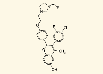 CC1=C(c2ccc(Cl)c(F)c2)C(c2ccc(OCCN3CC[C@@H](CF)C3)cc2)Oc2ccc(O)cc21